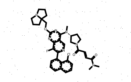 CN(C)C(=O)/C=C/C(=O)N1CC[C@@H](N(C)c2nc(OCC34CCCN3CCC4)nc3c(F)c(-c4cccc5cccc(Cl)c45)ncc23)C1